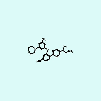 Cc1cc(Oc2cc(C#N)ccc2-c2ncc(C(O)CN)cn2)cc(N2CCOCC2)n1